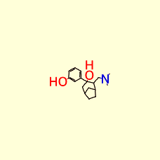 CN(C)CC1C2CCC(C2)CC1(O)c1cccc(O)c1